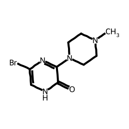 CN1CCN(c2nc(Br)c[nH]c2=O)CC1